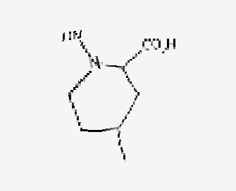 CC1CCN(N=O)C(C(=O)O)C1